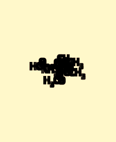 CC(=O)OCC1O[C@H](OCC=CC[C@H](N)C(=O)O)C(OC(C)=O)C(OC(C)=O)[C@H]1OC(C)=O